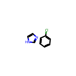 Clc1ccccc1.c1c[nH]cn1